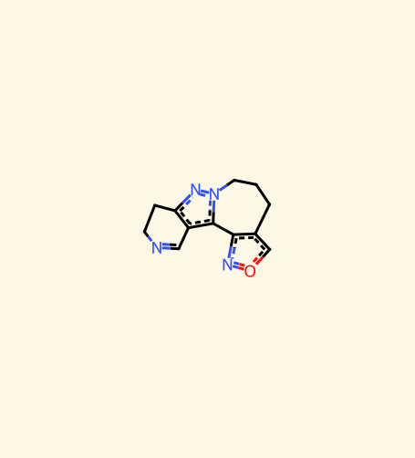 C1=NCCc2nn3c(c21)-c1nocc1CCC3